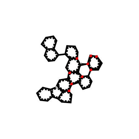 c1ccc(-c2ccccc2-c2c(-c3ccccc3)cccc2-c2ccccc2N(c2ccc(-c3cccc4c3oc3ccccc34)cc2)c2cccc(-c3cccc4ccccc34)c2)cc1